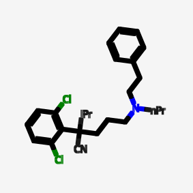 CCCN(CCCC(C#N)(c1c(Cl)cccc1Cl)C(C)C)CCc1ccccc1